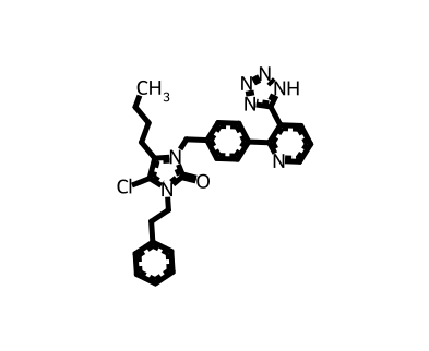 CCCCc1c(Cl)n(CCc2ccccc2)c(=O)n1Cc1ccc(-c2ncccc2-c2nnn[nH]2)cc1